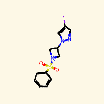 O=S(=O)(c1ccccc1)N1CC(n2cc(I)cn2)C1